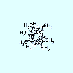 C=CC[Si]1(CC)O[Si](CC)(CC=C)O[Si](CC)(CC=C)O[Si](CC)(CC=C)O1